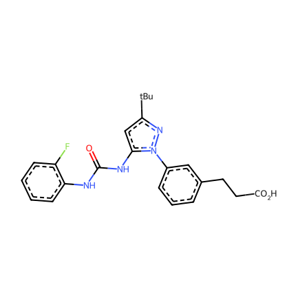 CC(C)(C)c1cc(NC(=O)Nc2ccccc2F)n(-c2cccc(CCC(=O)O)c2)n1